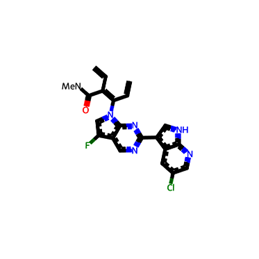 C=C/C(C(=O)NC)=C(\C=C)n1cc(F)c2cnc(-c3c[nH]c4ncc(Cl)cc34)nc21